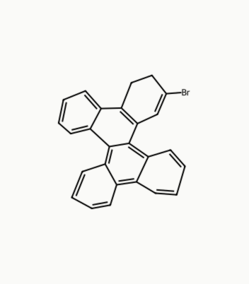 BrC1=Cc2c(c3ccccc3c3c4ccccc4c4ccccc4c23)CC1